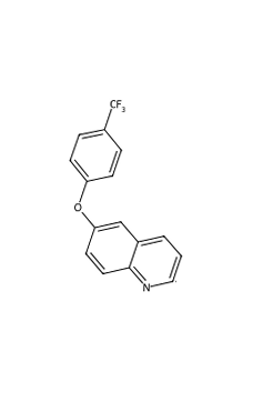 FC(F)(F)c1ccc(Oc2ccc3n[c]ccc3c2)cc1